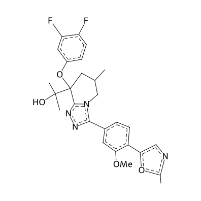 COc1cc(-c2nnc3n2CC(C)CC3(Oc2ccc(F)c(F)c2)C(C)(C)O)ccc1-c1cnc(C)o1